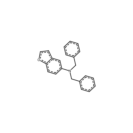 c1ccc(CN(Cc2ccccc2)c2ccc3occc3c2)cc1